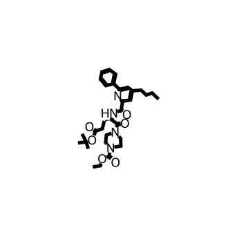 CCCCc1cc(C(=O)N[C@@H](CCC(=O)OC(C)(C)C)C(=O)N2CCN(C(=O)OCC)CC2)nc(-c2ccccc2)c1